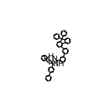 NC(NC(NCc1ccccc1)c1ccc(-c2ccccc2)cc1)c1cccc(-c2cccc(-c3cccc4c3-c3ccccc3C4(c3ccccc3)c3ccccc3)c2)c1